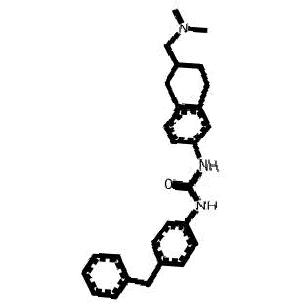 CN(C)CC1CCc2cc(NC(=O)Nc3ccc(Cc4ccccc4)cc3)ccc2C1